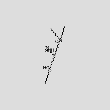 CCCCCCCCOC(O)CCCCCCCN(CCCCCCCC(=O)OC(CCCCCCCC)CCCCCCCC)CCCNC(=O)N(C)C